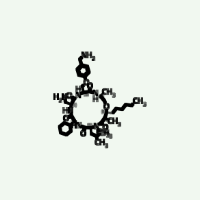 CCCCCC[C@H]1OC[C@@H](C)NC(=O)[C@H](COc2ccc(CN)cc2)NC(=O)[C@H](CN)NC(=O)[C@H](C2CCCCC2)NC(=O)[C@H](CC(C)C)N(C)C(=O)[C@@H]1C